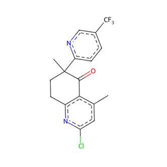 Cc1cc(Cl)nc2c1C(=O)C(C)(c1ccc(C(F)(F)F)cn1)CC2